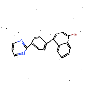 Brc1ccc(-c2ccc(-c3ncccn3)cc2)c2ccccc12